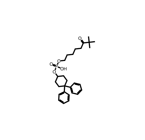 CC(C)(C)C(=O)CCCCCOP(=O)(O)OC1CCC(c2ccccc2)(c2ccccc2)CC1